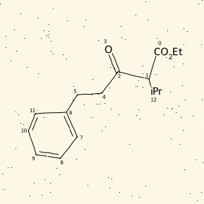 CCOC(=O)C(C(=O)CCc1ccccc1)C(C)C